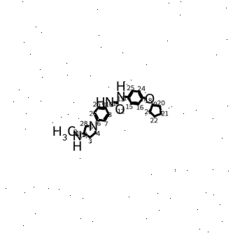 CN[C@H]1CCN(c2ccc(NC(=O)Nc3ccc(OC4CCCC4)cc3)cc2)C1